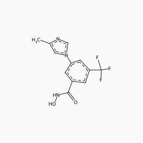 Cc1cn(-c2cc(C(=O)NO)cc(C(F)(F)F)c2)cn1